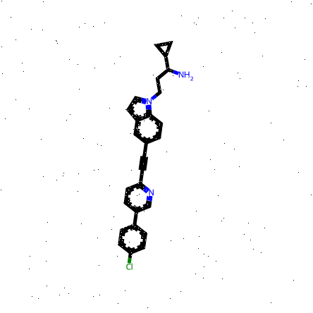 NC(CCn1ccc2cc(C#Cc3ccc(-c4ccc(Cl)cc4)cn3)ccc21)C1CC1